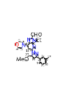 CCn1c(C=O)nc2c(N3CCOCC3)cc(-n3nc(-c4cccc(C)c4)cc3COC)nc21